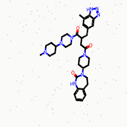 Cc1cc(CC(CC(=O)N2CCC(N3CCc4ccccc4NC3=O)CC2)C(=O)N2CCN(C3CCN(C)CC3)CC2)cc2nn[nH]c12